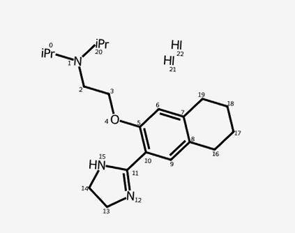 CC(C)N(CCOc1cc2c(cc1C1=NCCN1)CCCC2)C(C)C.I.I